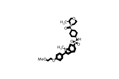 COCCOc1ccc(-c2cc3ccc(S(=O)(=O)N[C@H]4CC[C@H](C(=O)N5CCOC[C@@H]5C)CC4)cc3n2C)cc1